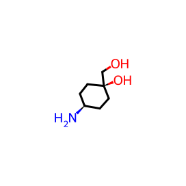 N[C@H]1CC[C@](O)(CO)CC1